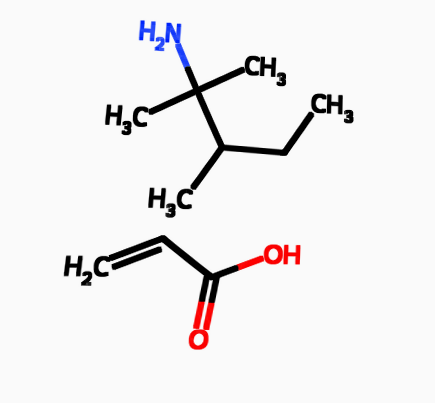 C=CC(=O)O.CCC(C)C(C)(C)N